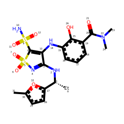 CC[C@@H](NC1=NS(=O)(=O)C(S(N)(=O)=O)=C1Nc1cccc(C(=O)N(C)C)c1O)c1ccc(C)o1